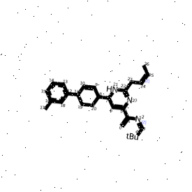 C=C(/N=C\C(C)(C)C)C1=CC(C2C=CC(c3cccc(C)c3)CC2)NC(C/C=C\C)=N1